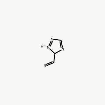 S=CC1N=CN=N1.[H+]